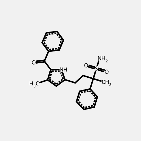 Cc1cc(CCC(C)(c2ccccc2)S(N)(=O)=O)[nH]c1C(=O)c1ccccc1